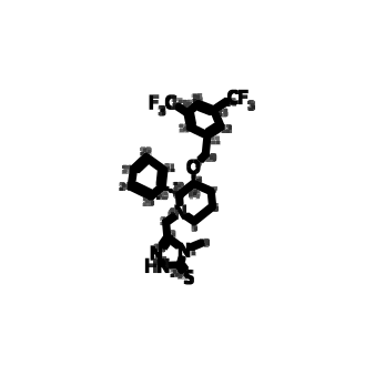 Cn1c(CN2CCC[C@@H](OCc3cc(C(F)(F)F)cc(C(F)(F)F)c3)[C@H]2c2ccccc2)n[nH]c1=S